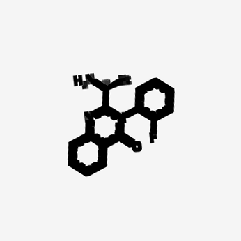 CC[C@H](N)c1nc2ccccc2c(=O)n1-c1ccccc1F